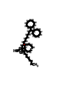 CCCCCCCCCCC(CCCCCCCCCC(C1CCCCCCCCC1)C1CCCCCCCCC1)(OP(O)O)C1CCCCCCCCC1